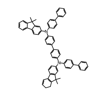 CC1(C)C2=C(C=CCC2)c2ccc(N(c3ccc(-c4ccccc4)cc3)c3ccc(-c4ccc(N(c5ccc(-c6ccccc6)cc5)c5ccc6c(c5)C(C)(C)c5ccccc5-6)cc4)cc3)cc21